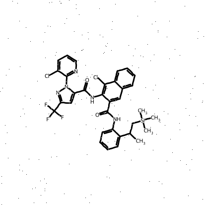 CC(C[Si](C)(C)C)c1ccccc1NC(=O)c1cc2ccccc2c(Cl)c1NC(=O)c1cc(C(F)(F)F)nn1-c1ncccc1Cl